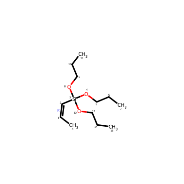 C/C=C\[Si](OCCC)(OCCC)OCCC